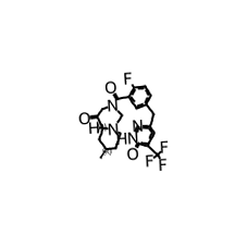 C[C@@H]1CCN2CN(C(=O)c3cc(Cc4cc(C(F)(F)F)c(=O)[nH]n4)ccc3F)CC(=O)[C@H]2C1